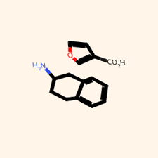 NC1CCc2ccccc2C1.O=C(O)c1ccoc1